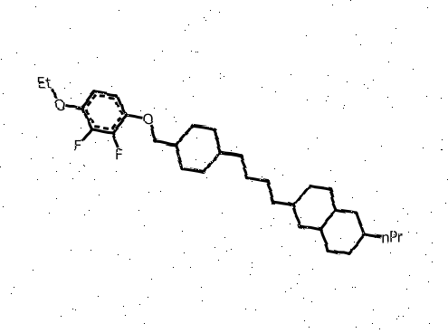 CCCC1CCC2CC(CCCCC3CCC(COc4ccc(OCC)c(F)c4F)CC3)CCC2C1